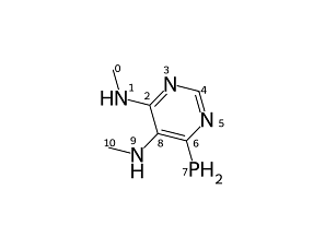 CNc1ncnc(P)c1NC